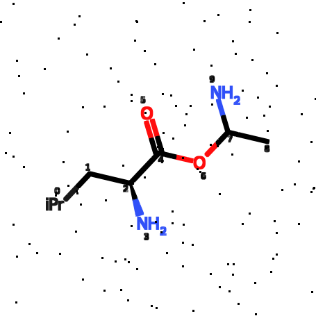 CC(C)C[C@H](N)C(=O)OC(C)N